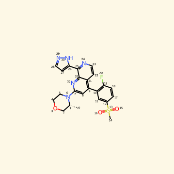 C[C@@H]1COCCN1c1cc(-c2cc(S(C)(=O)=O)ccc2F)c2ccnc(-c3ccn[nH]3)c2n1